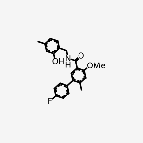 COc1cc(C)c(-c2ccc(F)cc2)cc1C(=O)NCc1ccc(C)cc1O